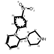 O=[N+]([O-])c1ccc(N2C=CC=CC2N2CCNCC2)cc1